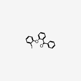 O=C(c1ccccc1)c1ccccc1Oc1ccccc1I